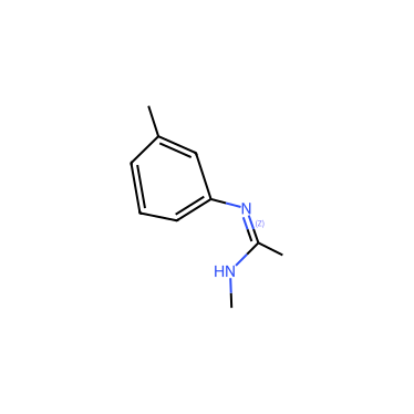 CN/C(C)=N\c1cccc(C)c1